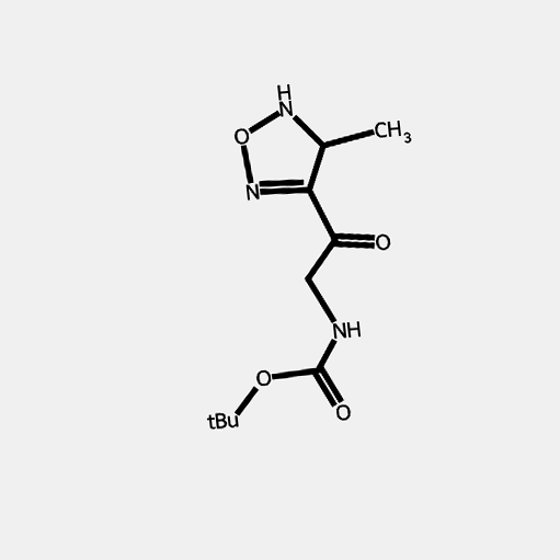 CC1NON=C1C(=O)CNC(=O)OC(C)(C)C